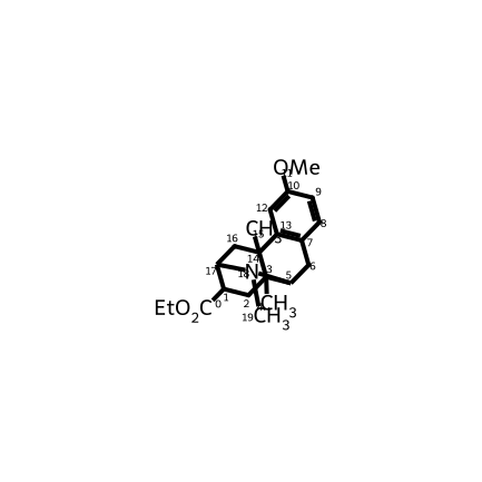 CCOC(=O)C1CC2(C)C3Cc4ccc(OC)cc4C2(C)CC1N3C